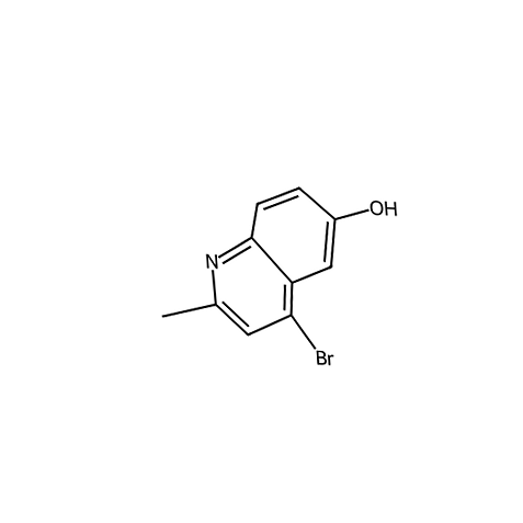 Cc1cc(Br)c2cc(O)ccc2n1